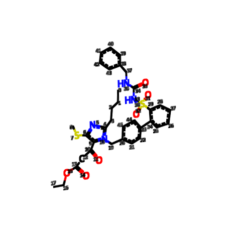 CCCCc1nc(SC)c(C(=O)CC(=O)OCC)n1Cc1ccc(-c2ccccc2S(=O)(=O)NC(=O)NCc2ccccc2)cc1